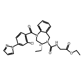 CCOC(=O)CNC(=O)N1Cc2ccccc2N(C(=O)c2ccc(-n3cccn3)cc2Cl)C[C@H]1CC